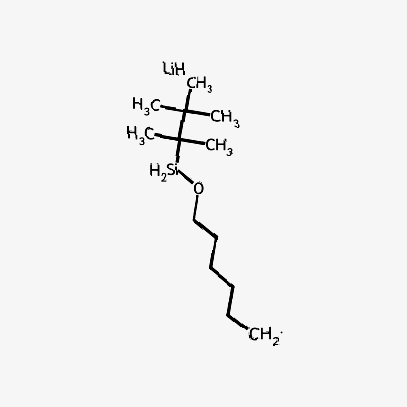 [CH2]CCCCCO[SiH2]C(C)(C)C(C)(C)C.[LiH]